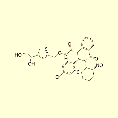 O=N[C@H]1CCCC[C@@H]1N1C(=O)c2ccccc2[C@@H](C(=O)NOCc2cc(C(O)CO)cs2)[C@@H]1c1ccc(Cl)cc1Cl